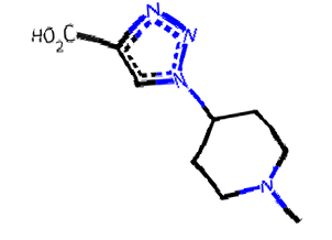 CN1CCC(n2cc(C(=O)O)nn2)CC1